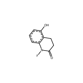 O=C1CCc2c(O)cccc2N1F